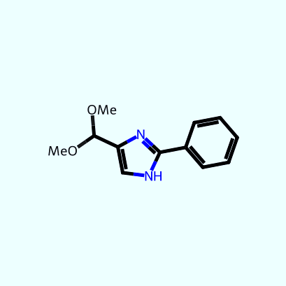 COC(OC)c1c[nH]c(-c2ccccc2)n1